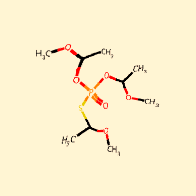 COC(C)OP(=O)(OC(C)OC)SC(C)OC